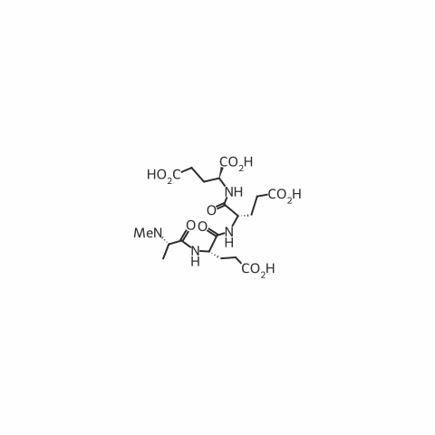 CN[C@@H](C)C(=O)N[C@@H](CCC(=O)O)C(=O)N[C@@H](CCC(=O)O)C(=O)N[C@@H](CCC(=O)O)C(=O)O